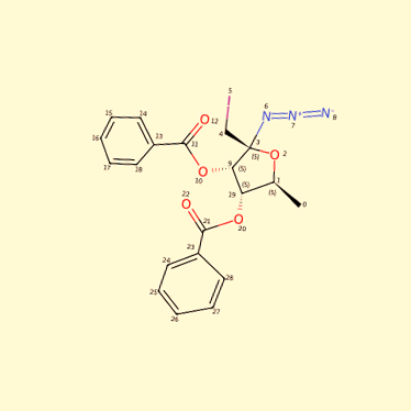 C[C@@H]1O[C@@](CI)(N=[N+]=[N-])[C@@H](OC(=O)c2ccccc2)[C@H]1OC(=O)c1ccccc1